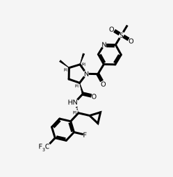 C[C@@H]1C[C@H](C(=O)N[C@@H](c2ccc(C(F)(F)F)cc2F)C2CC2)N(C(=O)c2ccc(S(C)(=O)=O)nc2)[C@@H]1C